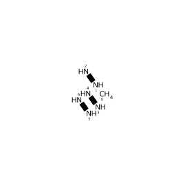 C.N=N.N=N.N=N